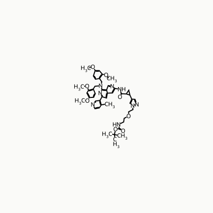 COc1ccc(CN(Cc2ccc(OC)cc2OC)c2nc(-c3cnccc3C)cc3cc(NC(=O)C4CC4c4cnn(CCOCCNC(=O)OC(C)(C)C)c4)ncc23)c(OC)c1